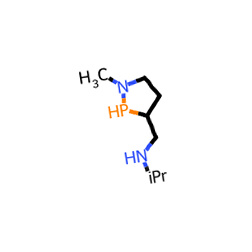 CC(C)NCC1CCN(C)P1